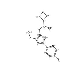 OCc1cc(-c2ccc(F)cn2)nn1CC(O)C1CCC1